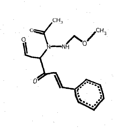 COCNN(C(C)=O)C([C]=O)C(=O)C=Cc1ccccc1